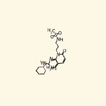 C=C(/N=C1\C(=C/N)C=CC(=O)N1CCCNS(C)(=O)=O)NC1CCCCC1